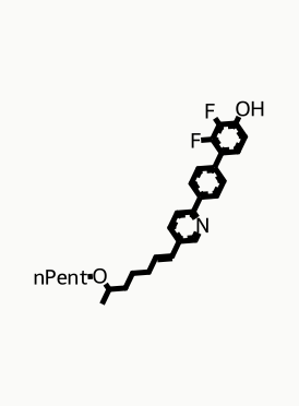 CCCCCOC(C)CCCC=Cc1ccc(-c2ccc(-c3ccc(O)c(F)c3F)cc2)nc1